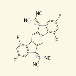 [C-]#[N+]/C(C#N)=C1/c2cc3c(cc2-c2c(F)cc(F)cc21)/C(=C(/C#N)[N+]#[C-])c1cc(F)cc(F)c1-3